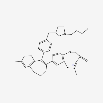 C/C1=C\C(=O)COc2ccc(C3=C(c4ccc(CC5CCN(CCCF)C5)cc4)c4ccc(C)cc4CCC3)cc2C1